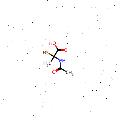 CC(=O)NC(C)(S)C(=O)O